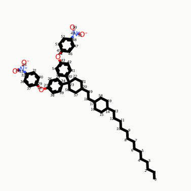 CCCCCCCCCCCCCCC1CCC(CCC2CCC(c3ccc(Oc4ccc([N+](=O)[O-])cc4)cc3)(c3ccc(Oc4ccc([N+](=O)[O-])cc4)cc3)CC2)CC1